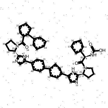 O=C(O)N[C@@H](C(=O)N1CCC[C@H]1c1ncc(-c2ccc(-c3ccc(-c4cnc([C@@H]5CCCN5C(=O)c5ccccc5-c5ccccc5)[nH]4)cc3)cc2)[nH]1)c1ccccc1